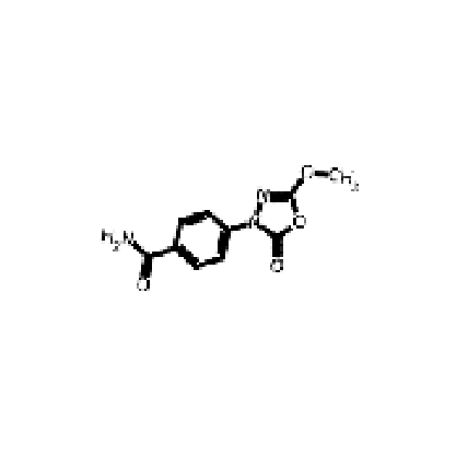 COc1nn(-c2ccc(C(N)=O)cc2)c(=O)o1